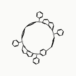 c1ccc(-n2c3ccc(cc3)c3ccc(cc3)n(-c3ccccc3)c3ccc4ccc(cc4c3)n(-c3ccccc3)c3ccc(cc3)c3ccc(cc3)n(-c3ccccc3)c3ccc4ccc2cc4c3)cc1